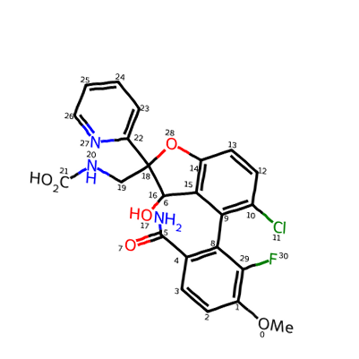 COc1ccc(C(N)=O)c(-c2c(Cl)ccc3c2C(O)C(CNC(=O)O)(c2ccccn2)O3)c1F